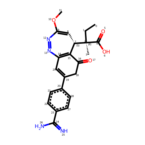 CC[C@@](C)(C(=O)O)[C@H]1C=C(OC)N=NC2=C1C(=O)CC(c1ccc(C(=N)N)cc1)=C2